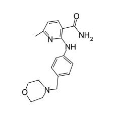 Cc1ccc(C(N)=O)c(Nc2ccc(CN3CCOCC3)cc2)n1